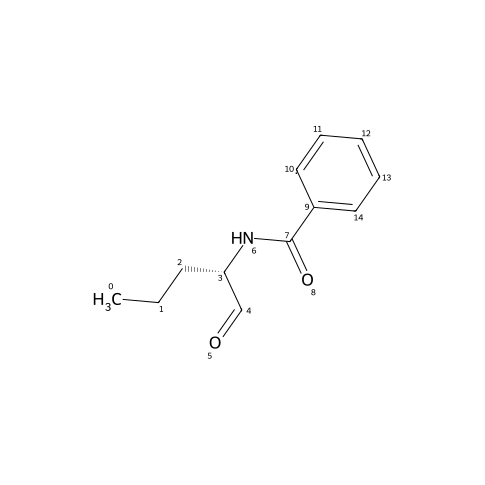 CCC[C@@H](C=O)NC(=O)c1[c]cccc1